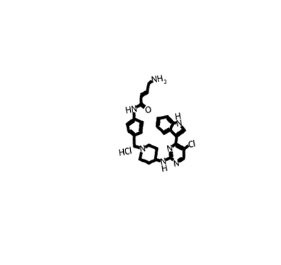 Cl.NCC=CC(=O)Nc1ccc(CN2CCC(Nc3ncc(Cl)c(-c4c[nH]c5ccccc45)n3)CC2)cc1